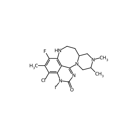 Cc1c(F)c2c3c(nc(=O)n(I)c3c1Cl)N1CC(C)N(C)CC1CCN2